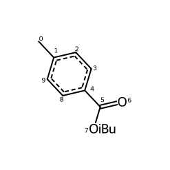 Cc1ccc(C(=O)OCC(C)C)cc1